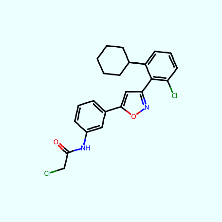 O=C(CCl)Nc1cccc(-c2cc(-c3c(Cl)cccc3C3CCCCC3)no2)c1